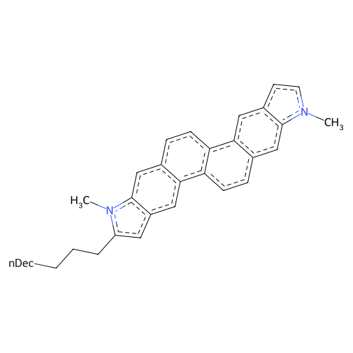 CCCCCCCCCCCCCc1cc2cc3c(ccc4c5cc6ccn(C)c6cc5ccc34)cc2n1C